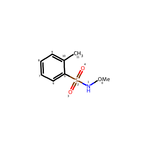 CONS(=O)(=O)c1ccccc1C